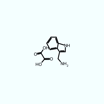 NCc1c[nH]c2ccccc12.O=C(O)C(=O)O